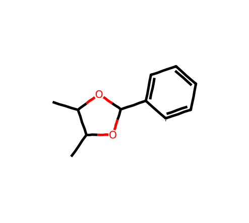 CC1OC(c2[c]cccc2)OC1C